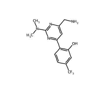 CN(C)c1nc(CN)cc(-c2ccc(C(F)(F)F)cc2O)n1